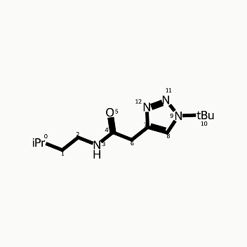 CC(C)CCNC(=O)Cc1cn(C(C)(C)C)nn1